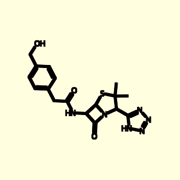 CC1(C)SC2C(NC(=O)Cc3ccc(CO)cc3)C(=O)N2C1c1nnn[nH]1